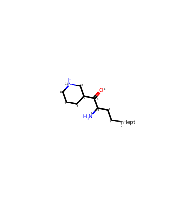 CCCCCCCCCC(N)C(=O)C1CCCNC1